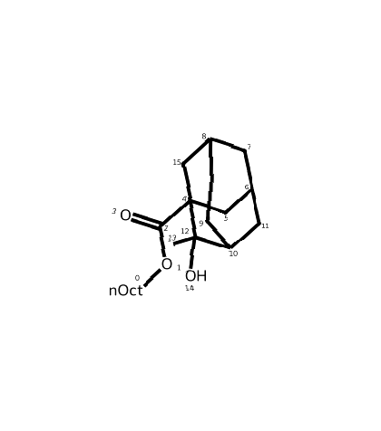 CCCCCCCCOC(=O)C12CC3CC(CC(C3)C1(C)O)C2